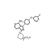 C[C@]1(C(=O)O)CCC[C@@H](c2nc(-c3ccc(Oc4cccc(F)c4)cc3)c3c(N)nccn23)C1